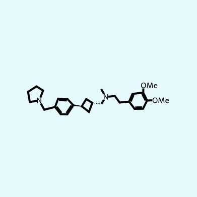 COc1ccc(CCN(C)C[C@H]2C[C@H](c3ccc(CN4CCCC4)cc3)C2)cc1OC